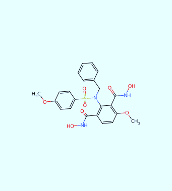 COc1ccc(S(=O)(=O)N(Cc2ccccc2)c2c(C(=O)NO)ccc(OC)c2C(=O)NO)cc1